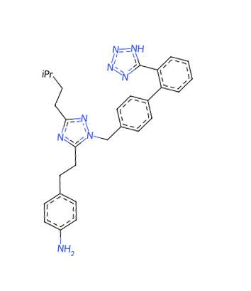 CC(C)CCc1nc(CCc2ccc(N)cc2)n(Cc2ccc(-c3ccccc3-c3nnn[nH]3)cc2)n1